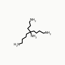 NCCCCC(N)(CCCN)CCCCN